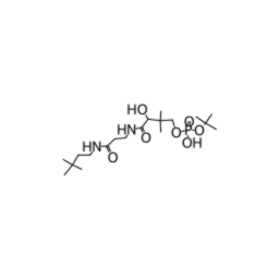 CC(C)(C)CCNC(=O)CCNC(=O)C(O)C(C)(C)COP(=O)(O)OC(C)(C)C